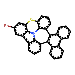 Brc1cc2c3c(c1)c1cccc4c1n3-c1c(cccc1-c1c-4c3ccccc3c3ccccc13)S2